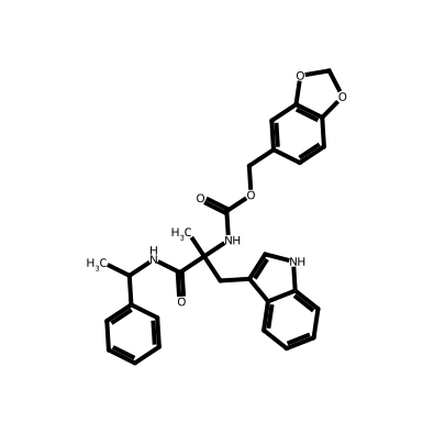 CC(NC(=O)C(C)(Cc1c[nH]c2ccccc12)NC(=O)OCc1ccc2c(c1)OCO2)c1ccccc1